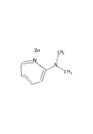 CN(C)c1ccccn1.[Zn]